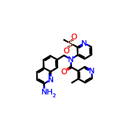 Cc1ccncc1C(=O)N(Cc1ccc2ccc(N)nc2c1)c1cccnc1S(C)(=O)=O